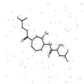 CC(C)CCC(=O)N1CCCC(NC(=O)C(N)CC(C)C)C(O)C1